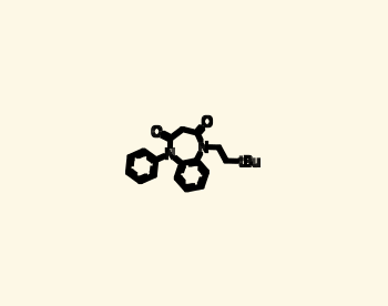 CC(C)(C)CCN1C(=O)CC(=O)N(c2ccccc2)c2ccccc21